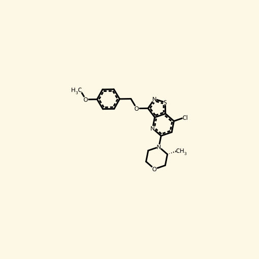 COc1ccc(COc2nsc3c(Cl)cc(N4CCOC[C@H]4C)nc23)cc1